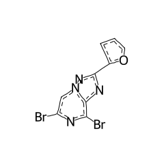 Brc1cn2nc(-c3ccco3)nc2c(Br)n1